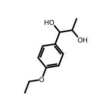 CCOc1ccc(C(O)C(C)O)cc1